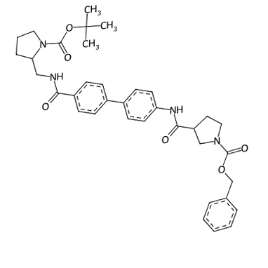 CC(C)(C)OC(=O)N1CCCC1CNC(=O)c1ccc(-c2ccc(NC(=O)C3CCN(C(=O)OCc4ccccc4)C3)cc2)cc1